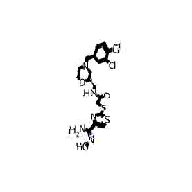 N/C(=N\O)c1csc(SCC(=O)NC[C@H]2CN(CC3C=C(Cl)C(Cl)=CC3)CCO2)n1